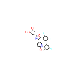 Cc1cc(F)cc(C)c1-n1cc(-c2nc([C@H]3C[C@@H](O)[C@@H](O)C3)oc2-c2ccc(F)cc2F)ccc1=O